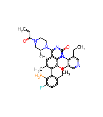 C=CC(=O)N1CCN(c2nc(=O)n(-c3c(CC)cncc3CC)c3c4c(c(C)cc23)-c2c(ccc(F)c2P)CO4)[C@@H](C)C1